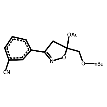 CCCCOCC1(OC(C)=O)CC(c2cccc(C#N)c2)=NO1